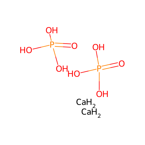 O=P(O)(O)O.O=P(O)(O)O.[CaH2].[CaH2]